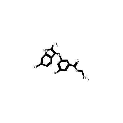 CCOC(=O)c1cc(Br)cc(Sc2c(C)[nH]c3cc(Cl)ccc23)c1